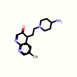 N#Cc1cnc2c(c1)C(CCN1CCC(N)CC1)C(=O)C=N2